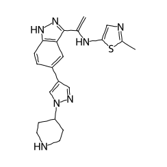 C=C(Nc1cnc(C)s1)c1n[nH]c2ccc(-c3cnn(C4CCNCC4)c3)cc12